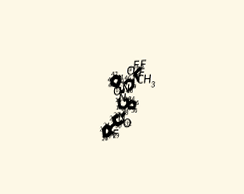 CN(C(=O)C(F)(F)F)[C@@H]1CCN(C(=O)N2CC[C@@H](Cn3ccc(-c4ccccc4F)cc3=O)C3(CCCC3)C2)[C@H](c2ccccc2)C1